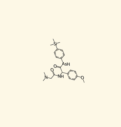 COc1ccc(C(NC(=O)CN(C)C)C(=O)[AsH]c2ccc([Si](C)(C)C)cc2)cc1